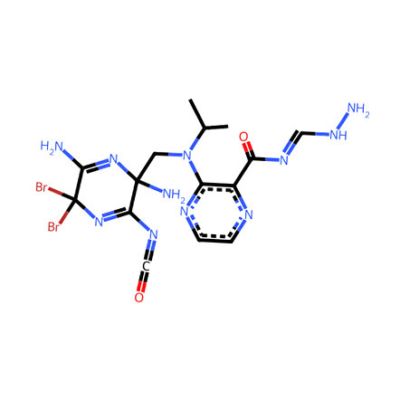 CC(C)N(CC1(N)N=C(N)C(Br)(Br)N=C1N=C=O)c1nccnc1C(=O)N=CNN